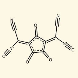 [C-]#[N+]/C(C#N)=c1\c(=O)c(=O)/c(=C(/C#N)[N+]#[C-])c1=O